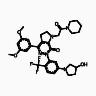 COc1cc(OC)cc(-c2nn(-c3cc(N4CCC(O)C4)ccc3C(F)(F)F)c(=O)c3c2CCN3CC(=O)N2CCCCC2)c1